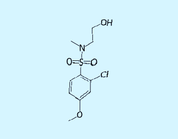 COc1ccc(S(=O)(=O)N(C)CCO)c(Cl)c1